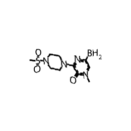 Bc1cn(C)c(=O)c(N2CCN(S(C)(=O)=O)CC2)n1